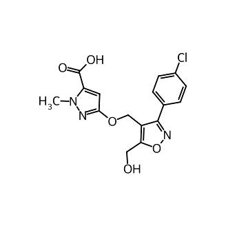 Cn1nc(OCc2c(-c3ccc(Cl)cc3)noc2CO)cc1C(=O)O